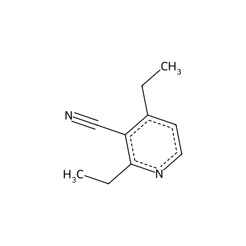 CCc1ccnc(CC)c1C#N